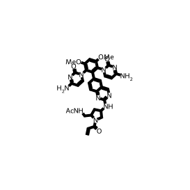 C=CC(=O)N1CC(Nc2ncc3cc(-c4c(-n5ccc(N)nc5=O)c(OC)cc(OC)c4-n4ccc(N)nc4=O)ccc3n2)CC1CNC(C)=O